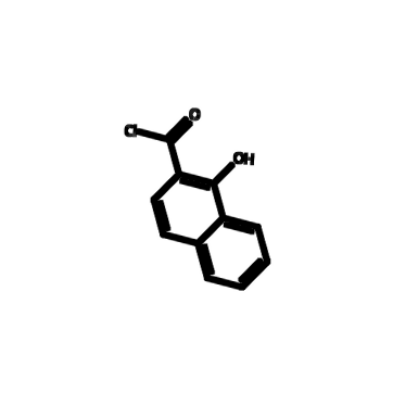 O=C(Cl)c1ccc2ccccc2c1O